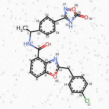 C[C@H](NC(=O)c1cccc2oc(Cc3ccc(Cl)cc3)nc12)c1ccc(-c2noc(=O)[nH]2)cc1